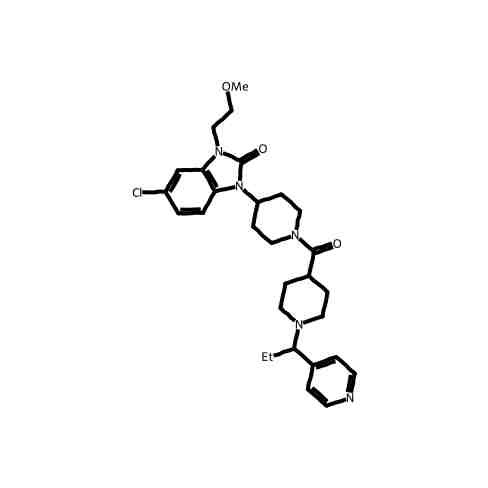 CCC(c1ccncc1)N1CCC(C(=O)N2CCC(n3c(=O)n(CCOC)c4cc(Cl)ccc43)CC2)CC1